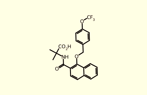 CC(C)(NC(=O)c1ccc2ccccc2c1OCc1ccc(OC(F)(F)F)cc1)C(=O)O